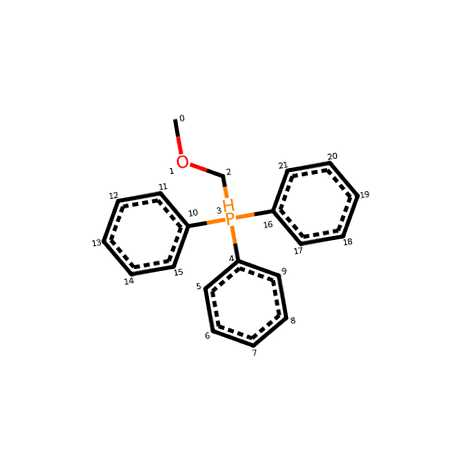 COC[PH](c1ccccc1)(c1ccccc1)c1ccccc1